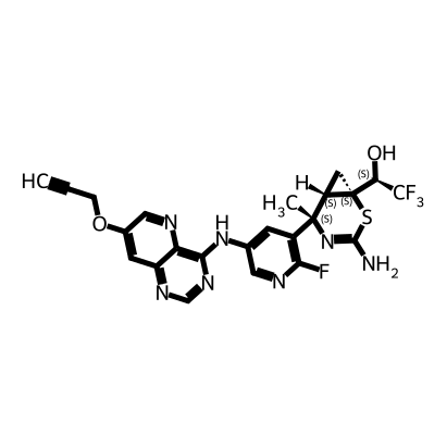 C#CCOc1cnc2c(Nc3cnc(F)c([C@@]4(C)N=C(N)S[C@@]5([C@@H](O)C(F)(F)F)C[C@H]54)c3)ncnc2c1